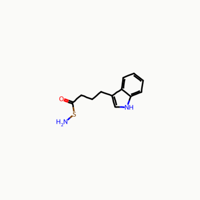 NSC(=O)CCCc1c[nH]c2ccccc12